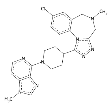 CN1Cc2cc(Cl)ccc2-n2c(nnc2C2CCN(c3nccc4c3ncn4C)CC2)C1